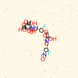 CC(=Cc1ccc(O[C@H]2C[C@H](O)[C@@H](C(C)=NOCc3ccc(N4CCOCC4)c(F)c3)O2)c(F)c1)C(=O)N[C@@H]1[C@H](O)[C@@H](O)[C@H]2OCO[C@H]2[C@@H]1O